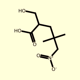 CC(C)(CC(CO)C(=O)O)C[N+](=O)[O-]